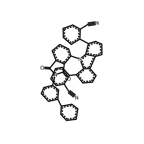 N#Cc1ccccc1-c1cccc2c3cccc(-c4ccccc4C#N)c3n(-c3cccc4c3C(=O)N(c3cccc(-c5ccccc5)c3)C4=O)c12